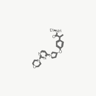 CCNC(=O)C(C)c1ccc(O[C@@H]2CCN(c3ccnc(N4CCOCC4)n3)C2)cc1